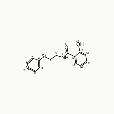 O=C(NCCSc1ccncc1)c1ccccc1O